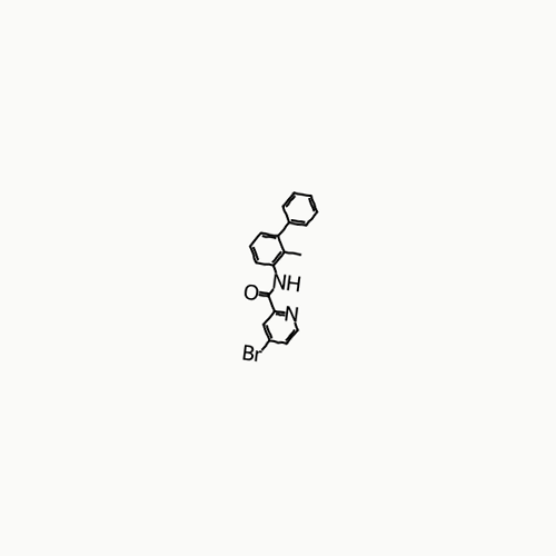 Cc1c(NC(=O)c2cc(Br)ccn2)cccc1-c1ccccc1